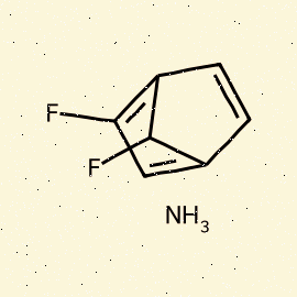 FC1=C2C=CC(=C1)C2F.N